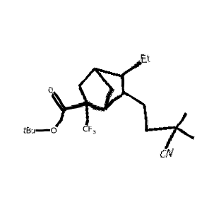 CCC1C2CC(C1CCC(C)(C)C#N)C(C(=O)OC(C)(C)C)(C(F)(F)F)C2